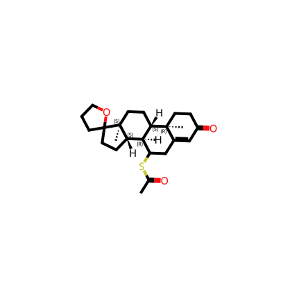 CC(=O)SC1CC2=CC(=O)CC[C@]2(C)[C@H]2CC[C@@]3(C)[C@@H](CCC34CCCO4)[C@H]12